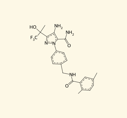 Cc1ccc(C)c(C(=O)NCc2ccc(-n3nc(C(C)(O)C(F)(F)F)c(N)c3C(N)=O)cc2)c1